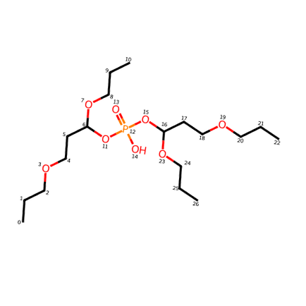 CCCOCCC(OCCC)OP(=O)(O)OC(CCOCCC)OCCC